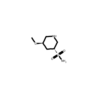 CO[C@H]1CNC[C@H](S(N)(=O)=O)C1